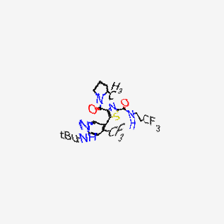 CC1CCCN1C(=O)c1nc(C(=O)NCCC(F)(F)F)sc1-c1cnc(NC(C)(C)C)cc1C(F)(F)F